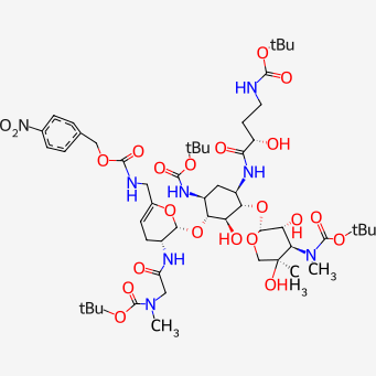 CN(CC(=O)N[C@@H]1CC=C(CNC(=O)OCc2ccc([N+](=O)[O-])cc2)O[C@@H]1O[C@H]1[C@H](O)[C@@H](O[C@H]2OC[C@](C)(O)[C@H](N(C)C(=O)OC(C)(C)C)[C@H]2O)[C@H](NC(=O)[C@@H](O)CCNC(=O)OC(C)(C)C)C[C@@H]1NC(=O)OC(C)(C)C)C(=O)OC(C)(C)C